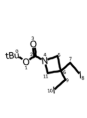 CC(C)(C)OC(=O)N1CC(CI)(CI)C1